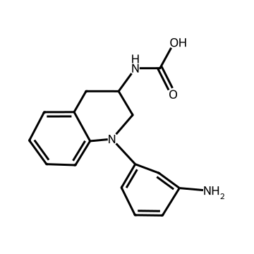 Nc1cccc(N2CC(NC(=O)O)Cc3ccccc32)c1